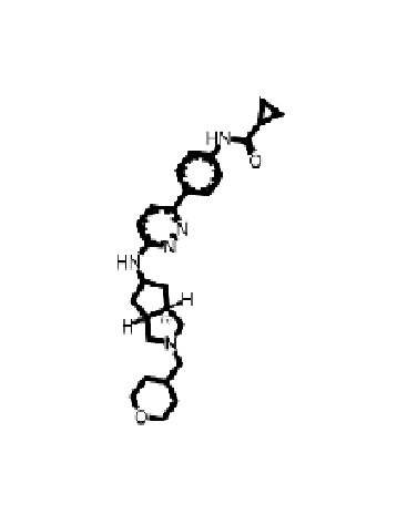 O=C(Nc1ccc(-c2ccc(NC3C[C@@H]4CN(CC5CCOCC5)C[C@@H]4C3)nn2)cc1)C1CC1